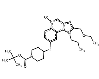 CCCn1c(COCC)nc2c[n+]([O-])c3ccc(OC4CCN(C(=O)OC(C)(C)C)CC4)cc3c21